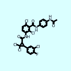 CC(=O)Nc1ccc(NC(=O)c2c(Cl)ccc(NC(=O)C3C(c4ccc(F)c(Cl)c4)C3(Cl)Cl)c2Cl)cc1